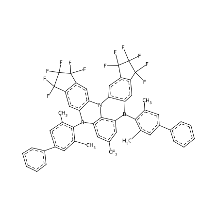 Cc1cc(-c2ccccc2)cc(C)c1B1c2cc3c(cc2N2c4cc5c(cc4B(c4c(C)cc(-c6ccccc6)cc4C)c4cc(C(F)(F)F)cc1c42)C(F)(F)C(F)(F)C5(F)F)C(F)(F)C(F)(F)C3(F)F